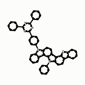 c1ccc(-c2nc(-c3ccccc3)nc(-c3ccc(-n4c5ccccc5c5c4ccc4c6c7oc8ccccc8c7ccc6n(-c6ccccc6)c45)cc3)n2)cc1